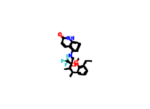 CCc1cccc(C(C)C(C)C(O)(C=Nc2cccc3[nH]c(=O)ccc23)C(F)(F)F)c1OC